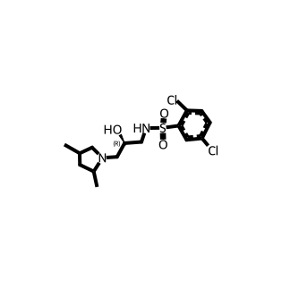 CC1CC(C)N(C[C@@H](O)CNS(=O)(=O)c2cc(Cl)ccc2Cl)C1